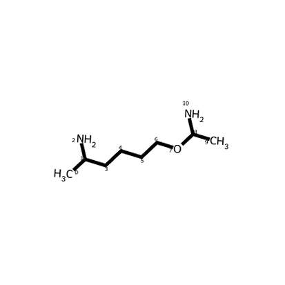 CC(N)CCCCOC(C)N